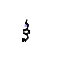 C/C=C/c1ccc(CC(C)C)s1